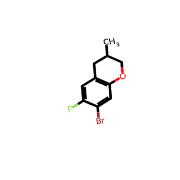 CC1COc2cc(Br)c(F)cc2C1